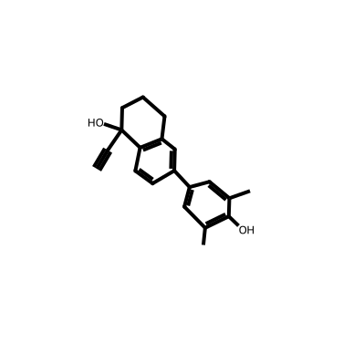 C#CC1(O)CCCc2cc(-c3cc(C)c(O)c(C)c3)ccc21